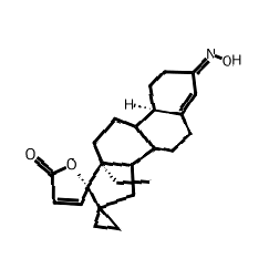 CC[C@]12CCC3C(CCC4=CC(=NO)CC[C@@H]43)C1CC1(CC1)[C@@]21C=CC(=O)O1